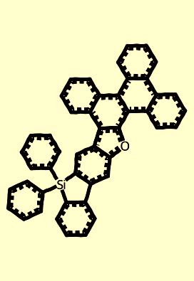 c1ccc([Si]2(c3ccccc3)c3ccccc3-c3cc4oc5c(c4cc32)c2ccccc2c2c3ccccc3c3ccccc3c52)cc1